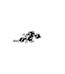 COc1cnc(C(=O)Nc2ccnc([C@]34CN(c5ncc(F)cn5)C[C@H]3CN=C(N)S4)c2)cn1.Cl